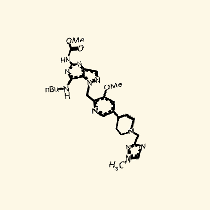 CCCCNc1nc(NC(=O)OC)nc2cnn(Cc3ncc(C4CCN(Cc5ncn(C)n5)CC4)cc3OC)c12